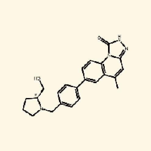 Cc1cc2n[nH]c(=O)n2c2ccc(-c3ccc(CN4CCC[C@H]4CO)cc3)cc12